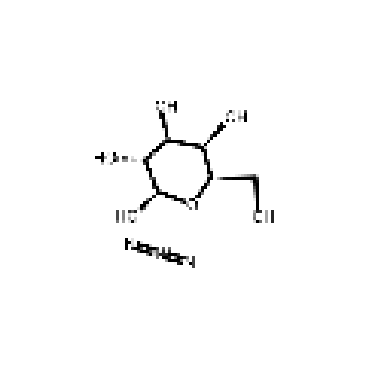 OC[C@H]1O[C@@H](O)[C@H](O)[C@@H](O)[C@H]1O.[N-]=[N+]=[N-]